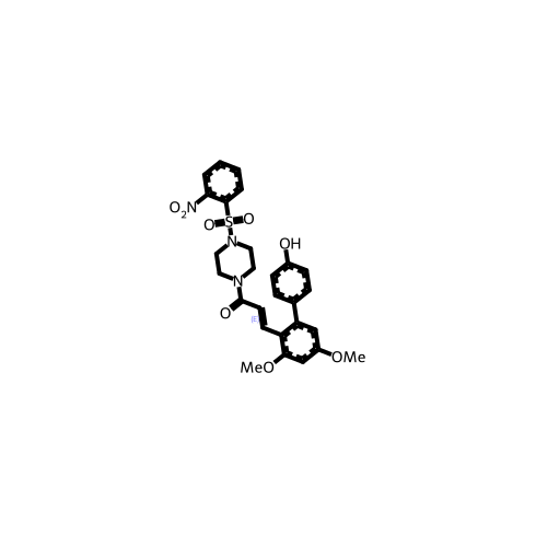 COc1cc(OC)c(/C=C/C(=O)N2CCN(S(=O)(=O)c3ccccc3[N+](=O)[O-])CC2)c(-c2ccc(O)cc2)c1